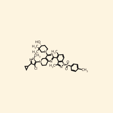 Cc1ccc(S(=O)(=O)n2nc(C)c3c(-c4nc5c(c(N6CC[C@@H](O)C(C)(C)C6)n4)CN(c4c(Cl)c(C6CC6)nn4C)CC5)c(C)ccc32)cc1